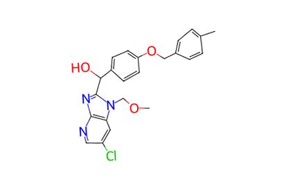 COCn1c(C(O)c2ccc(OCc3ccc(C)cc3)cc2)nc2ncc(Cl)cc21